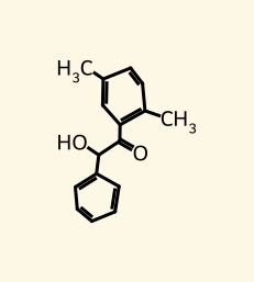 Cc1ccc(C)c(C(=O)C(O)c2ccccc2)c1